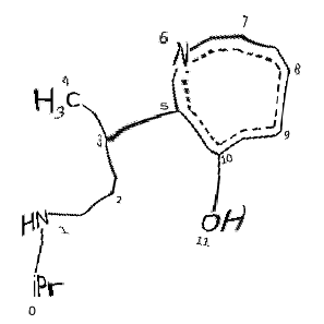 CC(C)NCC(C)c1ncccc1O